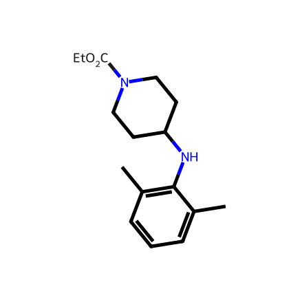 CCOC(=O)N1CCC(Nc2c(C)cccc2C)CC1